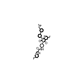 CN(C)Cc1cccc(-c2cccc(-n3c(=O)n(C4CCC(NC(=O)c5cn6cc(F)ccc6n5)CC4)c(=O)c4cc(F)cnc43)c2)c1